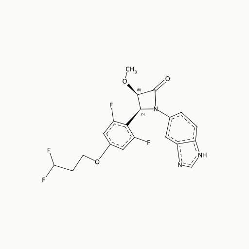 CO[C@H]1C(=O)N(c2ccc3[nH]cnc3c2)[C@H]1c1c(F)cc(OCCC(F)F)cc1F